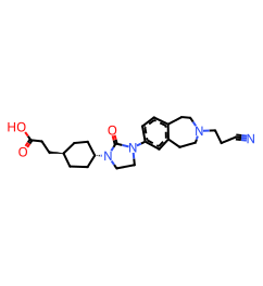 N#CCCN1CCc2ccc(N3CCN([C@H]4CC[C@H](CCC(=O)O)CC4)C3=O)cc2CC1